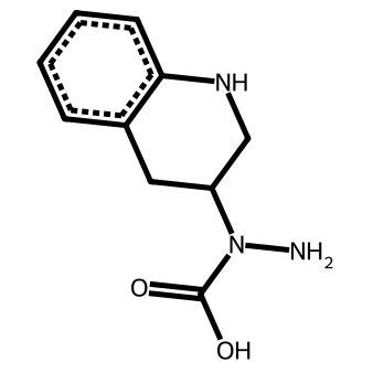 NN(C(=O)O)C1CNc2ccccc2C1